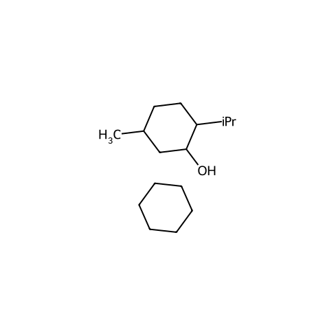 C1CCCCC1.CC1CCC(C(C)C)C(O)C1